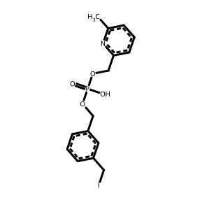 Cc1cccc(COP(=O)(O)OCc2cccc(CI)c2)n1